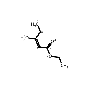 CCOC(=O)/C=C(/C)CC